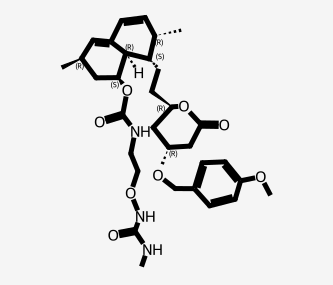 CNC(=O)NOCCNC(=O)O[C@H]1C[C@@H](C)C=C2C=C[C@H](C)[C@H](CC[C@@H]3C[C@@H](OCc4ccc(OC)cc4)CC(=O)O3)[C@H]21